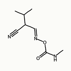 CNC(=O)ON=CC(C#N)C(C)C